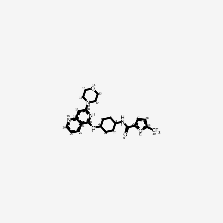 O=C(NC1CCC(Oc2nc(N3CCOCC3)cc3ncccc23)CC1)c1ccc(C(F)(F)F)o1